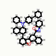 c1ccc(-c2ccc(N(c3ccccc3)c3ccc(-c4cccc5oc6c7ccccc7c(-c7nc8ccccc8o7)cc6c45)c4ccccc34)cc2)cc1